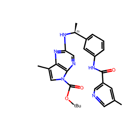 Cc1cncc(C(=O)Nc2cccc([C@H](C)Nc3cnc4c(n3)c(C)cn4C(=O)OC(C)(C)C)c2)c1